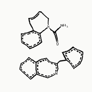 NC(=O)N1CC=Cc2ccccc21.c1ccc(-c2cc3ccccc3cn2)cc1